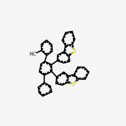 N#Cc1ccccc1-c1ccc(-c2ccccc2)c(-c2ccc3sc4ccccc4c3c2)c1-c1ccc2sc3ccccc3c2c1